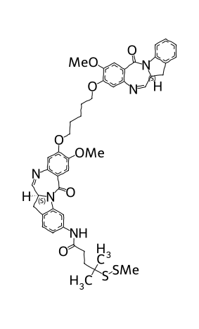 COc1cc2c(cc1OCCCCCOc1cc3c(cc1OC)C(=O)N1c4cc(NC(=O)CCC(C)(C)SSC)ccc4C[C@H]1C=N3)N=C[C@@H]1Cc3ccccc3N1C2=O